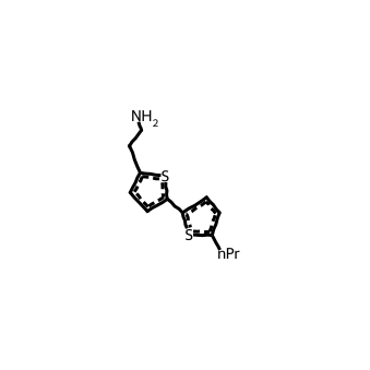 CCCc1ccc(-c2ccc(CCN)s2)s1